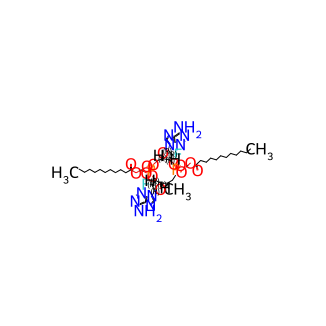 CCCCCCCCCCCC(=O)OCOP1(=O)CCC(C)[C@H]2O[C@@H](n3cnc4c(N)ncnc43)[C@H](F)[C@@H]2OP(=O)(OCOC(=O)CCCCCCCCCCC)OC[C@H]2O[C@@H](n3cnc4c(N)ncnc43)[C@H](F)[C@@H]2O1